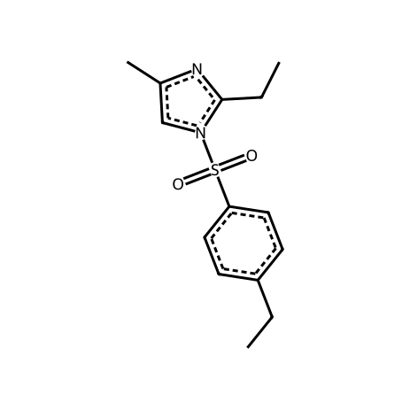 CCc1ccc(S(=O)(=O)n2cc(C)nc2CC)cc1